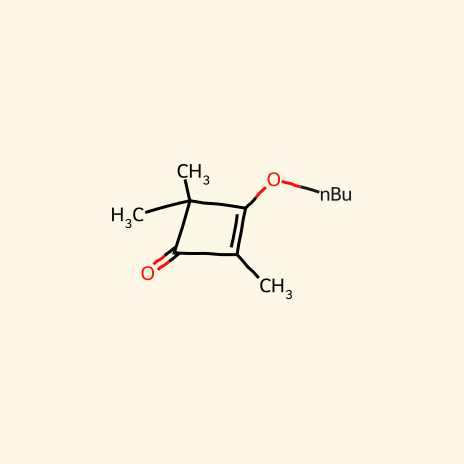 CCCCOC1=C(C)C(=O)C1(C)C